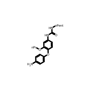 CCCCCNC(=O)Nc1ccc(Oc2ccc(N)cc2)c(OCCC)c1